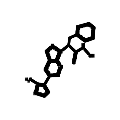 Cn1nccc1-c1cnc2c(cnn2C(Cc2ccccc2)C(=O)NO)c1